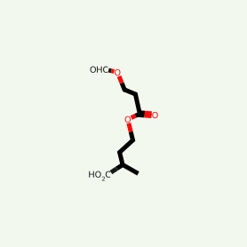 CC(CCOC(=O)CCOC=O)C(=O)O